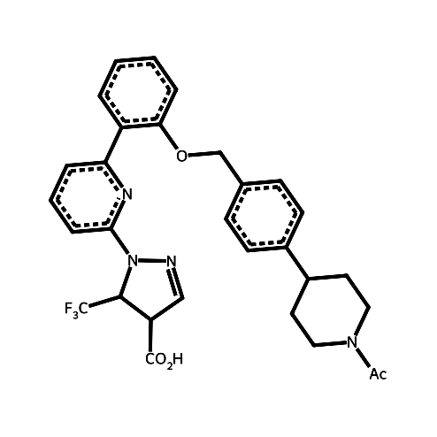 CC(=O)N1CCC(c2ccc(COc3ccccc3-c3cccc(N4N=CC(C(=O)O)C4C(F)(F)F)n3)cc2)CC1